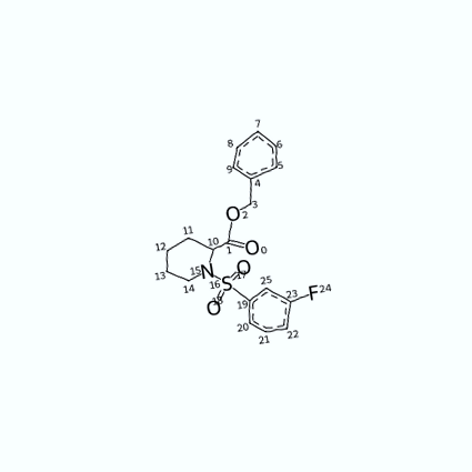 O=C(OCc1ccccc1)C1CCCCN1S(=O)(=O)c1cccc(F)c1